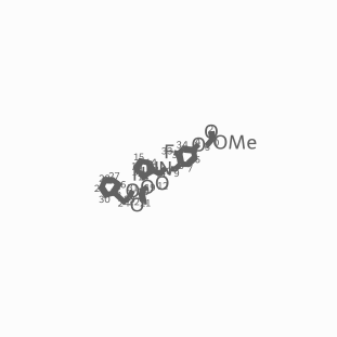 COC(=O)COc1ccc(CNC(=O)c2cccnc2OC2=COC(Cc3ccccc3)O2)c(F)c1